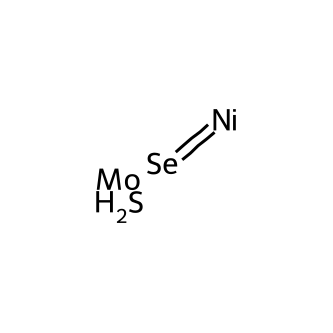 S.[Mo].[Ni]=[Se]